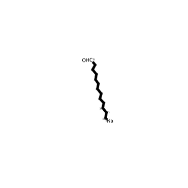 O=CCCCCCCCCCCC[CH2][Na]